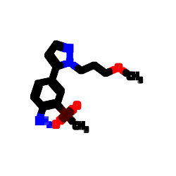 COCCCn1nccc1-c1ccc(N)c(S(C)(=O)=O)c1